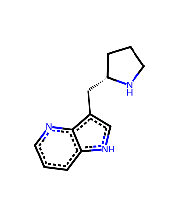 c1cnc2c(C[C@@H]3CCCN3)c[nH]c2c1